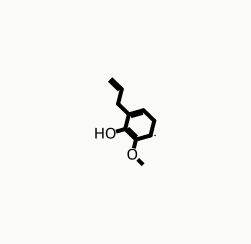 C=CCC1=CC[CH]C(OC)=C1O